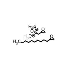 CCCCCCCCCCC1CO1.CO[Si](CC1CO1)(OC)OC